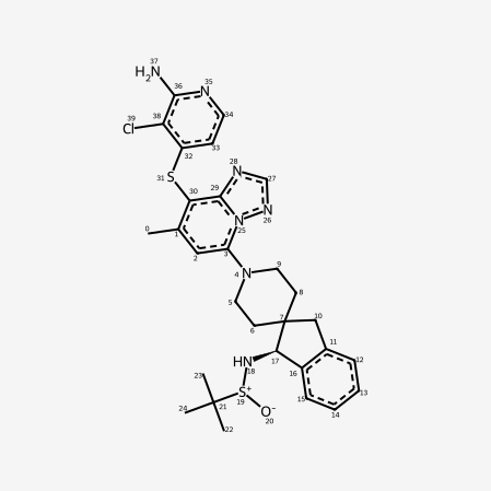 Cc1cc(N2CCC3(CC2)Cc2ccccc2[C@H]3N[S+]([O-])C(C)(C)C)n2ncnc2c1Sc1ccnc(N)c1Cl